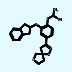 CC(O)Oc1ccc(C2=NOC3(CCOC3)C2)cc1OC1Cc2ccccc2C1